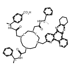 C[C@H](NC(=O)CN1CCN(CC(=O)N[C@@H](C)c2ccccc2)CCN(Cc2ccc3c(n2)c2ncccc2c2nc4c(nc32)CCCC4)CCN(CC(=O)N[C@@H](C)c2ccccc2)CC1)c1ccc(C(=O)O)cc1